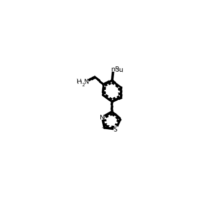 CCCCc1ccc(-c2cs[c]n2)cc1CN